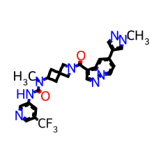 CN(C(=O)Nc1cncc(C(F)(F)F)c1)C1CC2(C1)CN(C(=O)c1cnn3ccc(-c4cnn(C)c4)cc13)C2